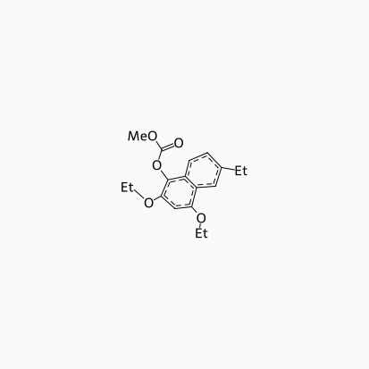 CCOc1cc(OCC)c2cc(CC)ccc2c1OC(=O)OC